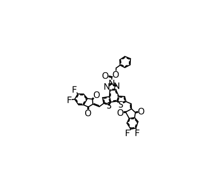 O=C1C(=Cc2cc3c4nn(C(=O)OCc5ccccc5)nc4c4cc(C=C5C(=O)c6cc(F)c(F)cc6C5=O)sc4c3s2)C(=O)c2cc(F)c(F)cc21